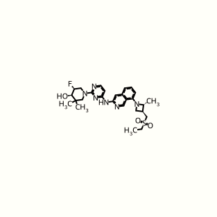 CCS(=O)(=O)C[C@H]1CN(c2cccc3cc(Nc4ccnc(N5C[C@H](F)[C@H](O)C(C)(C)C5)n4)ncc23)[C@@H]1C